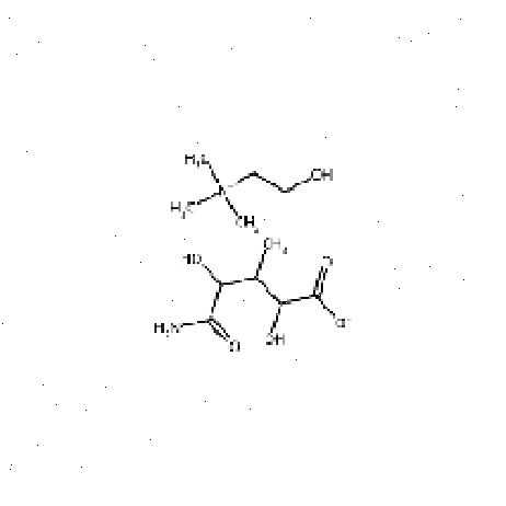 CC(C(O)C(N)=O)C(O)C(=O)[O-].C[N+](C)(C)CCO